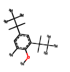 [2H]Oc1c([2H])cc(C(C)(C)C([2H])([2H])[2H])cc1C(C)(C)C([2H])([2H])[2H]